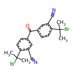 CC(C)(Br)c1ccc(C(=O)c2ccc(C(C)(C)Br)c(C#N)c2)cc1C#N